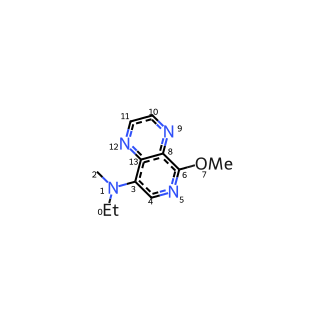 CCN(C)c1cnc(OC)c2nccnc12